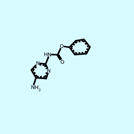 Nc1cnc(NC(=O)Oc2ccccc2)nc1